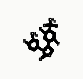 Cc1cc(-n2c(-c3cc(F)c(S(C)(=O)=O)cc3F)coc2=O)ccc1F